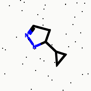 C1=N[N]C(C2CC2)C1